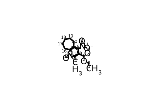 CCOC(=O)c1c([N+](=O)[O-])c2c([n+]([O-])c1C)CCCCC2